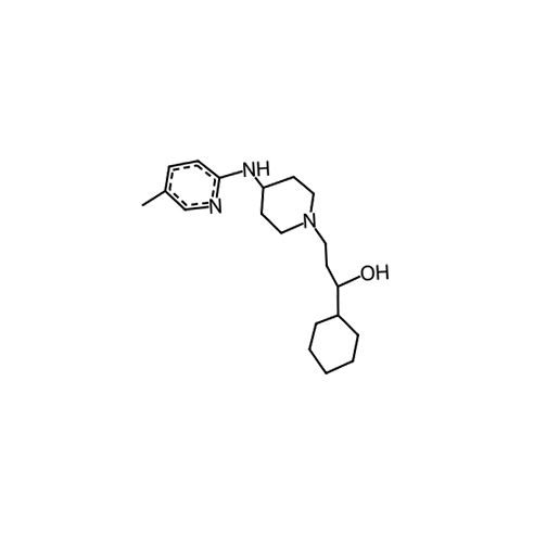 Cc1ccc(NC2CCN(CCC(O)C3CCCCC3)CC2)nc1